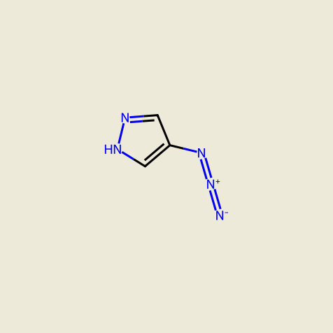 [N-]=[N+]=Nc1cn[nH]c1